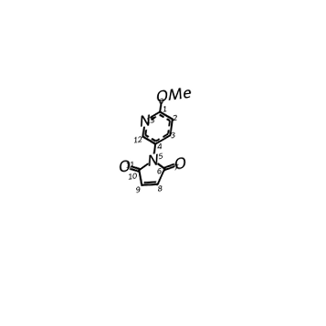 COc1ccc(N2C(=O)C=CC2=O)cn1